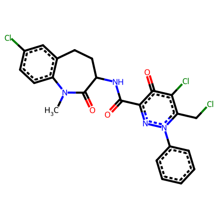 CN1C(=O)C(NC(=O)c2nn(-c3ccccc3)c(CCl)c(Cl)c2=O)CCc2cc(Cl)ccc21